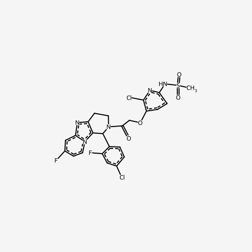 CS(=O)(=O)Nc1ccc(OCC(=O)N2CCc3nc4cc(F)ccn4c3C2c2ccc(Cl)cc2F)c(Cl)n1